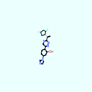 C=C(c1ncc(-c2ccc(-n3ccnc3)cc2O)nn1)[C@@H]1C[C@@H](F)C[C@H]1F